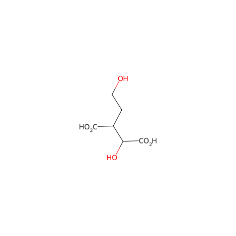 O=C(O)C(O)C(CCO)C(=O)O